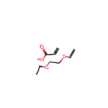 C=CC(=O)O.C=COCCOCC